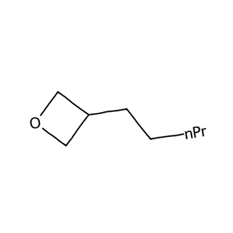 CCCCCC1COC1